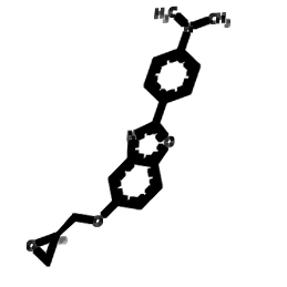 CN(C)c1ccc(-c2nc3cc(OC[C@H]4CO4)ccc3o2)cc1